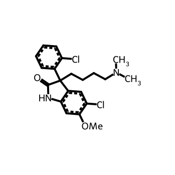 COc1cc2c(cc1Cl)C(CCCCN(C)C)(c1ccccc1Cl)C(=O)N2